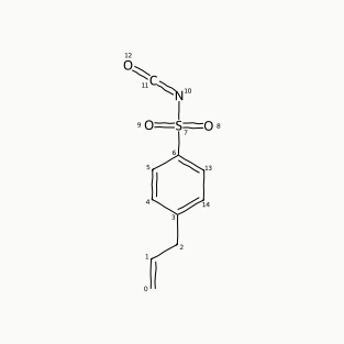 C=CCc1ccc(S(=O)(=O)N=C=O)cc1